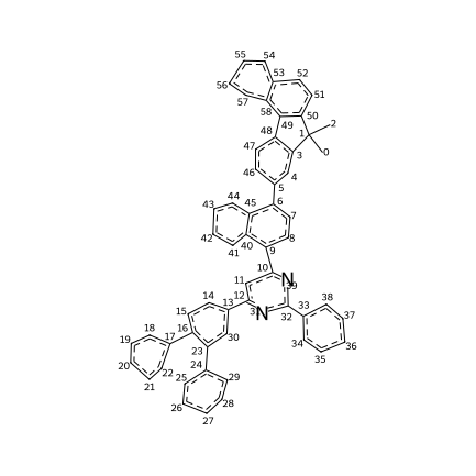 CC1(C)c2cc(-c3ccc(-c4cc(-c5ccc(-c6ccccc6)c(-c6ccccc6)c5)nc(-c5ccccc5)n4)c4ccccc34)ccc2-c2c1ccc1ccccc21